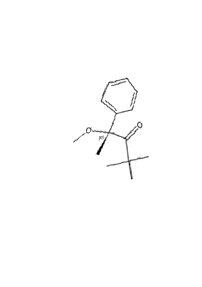 CO[C@@](C)(C(=O)C(C)(C)C)c1ccccc1